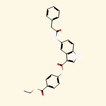 CCOC(=O)c1ccc(OC(=O)c2c[nH]c3ccc(NC(=O)Cc4ccccc4)cc23)cc1